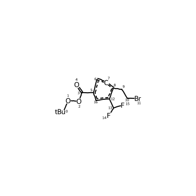 CC(C)(C)OOC(=O)c1ccc(CCBr)c(C(F)F)c1